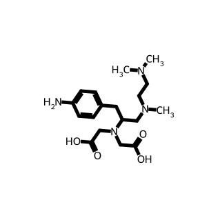 CN(C)CCN(C)CC(Cc1ccc(N)cc1)N(CC(=O)O)CC(=O)O